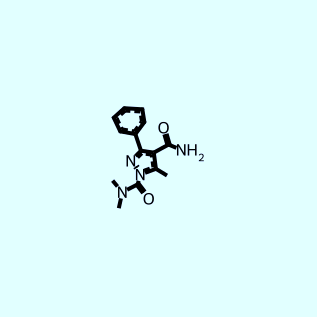 Cc1c(C(N)=O)c(-c2ccccc2)nn1C(=O)N(C)C